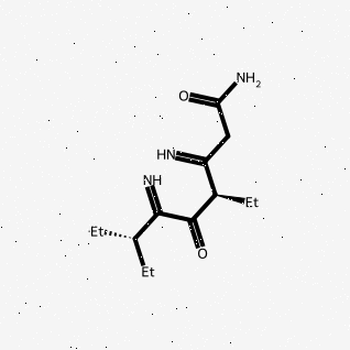 C[CH][C@@H](CC)C(=N)C(=O)[C@H](CC)C(=N)CC(N)=O